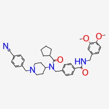 COc1ccc(CNC(=O)c2ccc(CN(C(=O)C3CCCC3)C3CCN(Cc4ccc(C#N)cc4)CC3)cc2)cc1OC